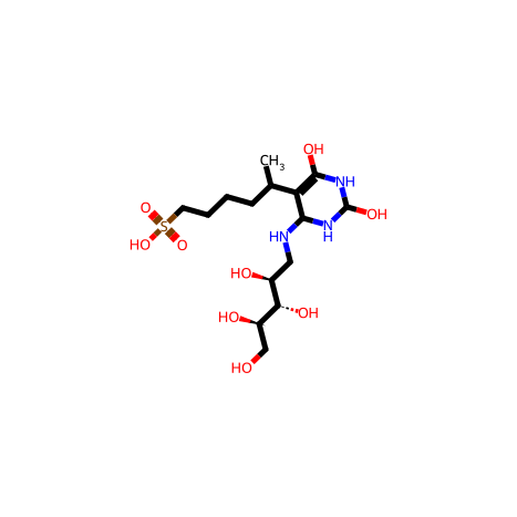 CC(CCCCS(=O)(=O)O)C1=C(O)NC(O)NC1NC[C@H](O)[C@H](O)[C@H](O)CO